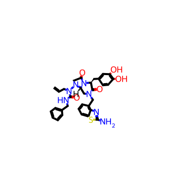 C=CCN(C(=O)NCc1ccccc1)N1CC(=O)N2[C@@H](Cc3ccc(O)c(O)c3)C(=O)N(Cc3cccc4sc(N)nc34)C[C@@H]21